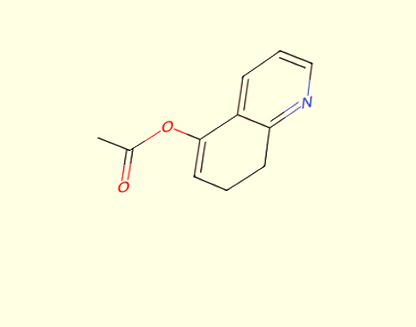 CC(=O)OC1=CCCc2ncccc21